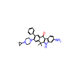 CC1(C)c2cc(N3CCN(C4CC4)CC3)c(-c3ccccc3)cc2C(=O)c2c1[nH]c1cc(N)ccc21